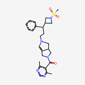 Cc1ncnc(C)c1C(=O)N1CC2=CN(CCC(c3ccccc3)C3CN(S(C)(=O)=O)C3)CC2C1